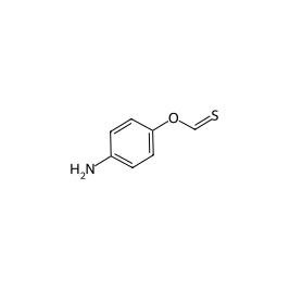 Nc1ccc(OC=S)cc1